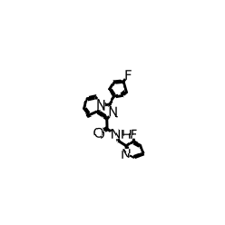 O=C(NCc1ncccc1F)c1nc(-c2ccc(F)cc2)n2ccccc12